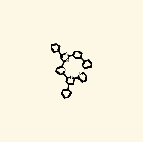 c1ccc(-c2cccc(-c3nc(-c4ccccc4)cc(-c4cccc(-c5cc(-c6ccccc6)cc(-c6ccccn6)n5)n4)n3)c2)cc1